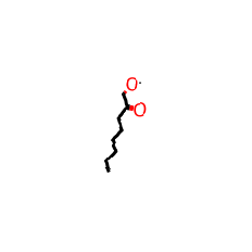 CCCCCCC(=O)C[O]